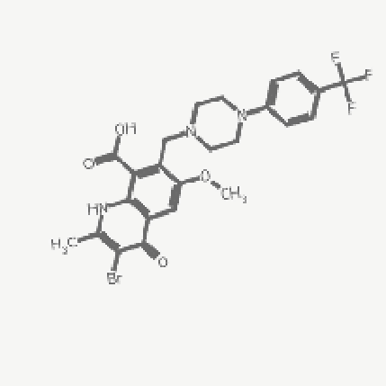 COc1cc2c(=O)c(Br)c(C)[nH]c2c(C(=O)O)c1CN1CCN(c2ccc(C(F)(F)F)cc2)CC1